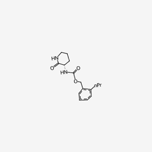 CCCc1ccccc1COC(=O)N[C@H]1CCCNC1=O